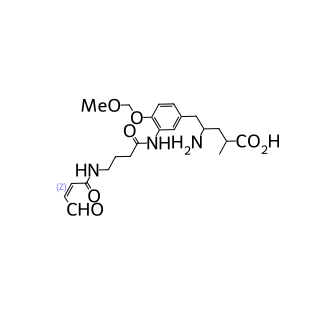 COCOc1ccc(CC(N)CC(C)C(=O)O)cc1NC(=O)CCCNC(=O)/C=C\C=O